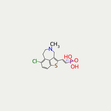 CN1CCc2c(Cl)ccc3sc(/C=C/P(=O)(O)O)c(c23)C1